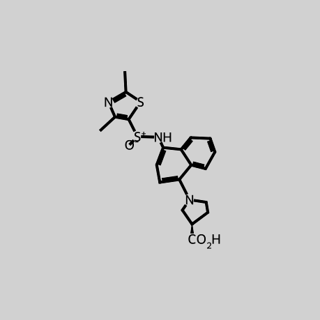 Cc1nc(C)c([S+]([O-])Nc2ccc(N3CC[C@@H](C(=O)O)C3)c3ccccc23)s1